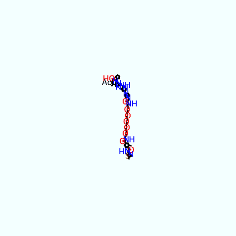 CC(=O)C1=C(C)c2cnc(Nc3ccc(N4CCN(CC(=O)NCCOCCOCCOCCOCCOCCNC(=O)c5ccc(C(=O)Nc6ncc(C)s6)c(C)c5)CC4)cn3)nc2N(C2CCCC2)C1O